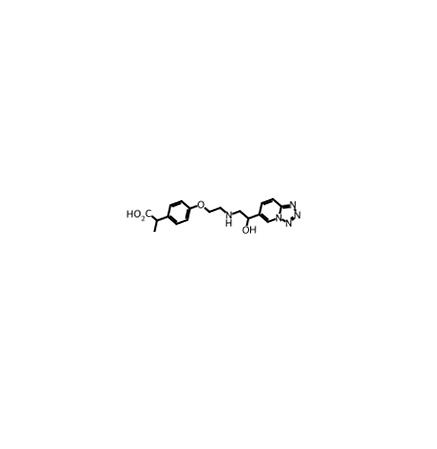 CC(C(=O)O)c1ccc(OCCNCC(O)c2ccc3nnnn3c2)cc1